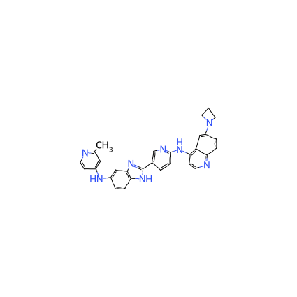 Cc1cc(Nc2ccc3[nH]c(-c4ccc(Nc5ccnc6ccc(N7CCC7)cc56)nc4)nc3c2)ccn1